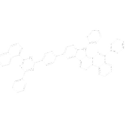 c1ccc(-c2nc(-c3ccc(-c4ccc5c(c4)c4ccc6c7ccccc7c(-c7ccccc7)nc6c4n5-c4ccccc4)cc3)nc(-c3cccc4ccccc34)n2)cc1